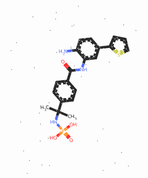 CC(C)(NP(=O)(O)O)c1ccc(C(=O)Nc2cc(-c3cccs3)ccc2N)cc1